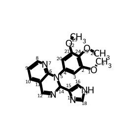 COc1cc(N2c3ncccc3C=NC2c2c[nH]cn2)cc(OC)c1OC